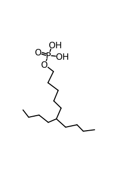 CCCCC(CCCC)CCCCCOP(=O)(O)O